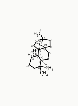 CC12CC[C@]3(CC[C@H]4C(C)(C)CCC[C@]4(C)[C@H]3CO1)O2